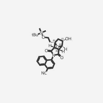 CC(C)(C)[Si](C)(C)OCC[C@]12C[C@H](O)[C@H](O1)[C@@H]1C(=O)N(c3ccc(C#N)c4ccccc34)C(=O)[C@@H]12